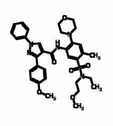 CCN(CCOC)S(=O)(=O)c1cc(NC(=O)c2cn(-c3ccccc3)nc2-c2ccc(OC)cc2)c(N2CCOCC2)cc1C